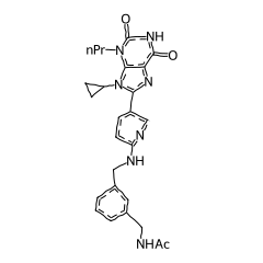 CCCn1c(=O)[nH]c(=O)c2nc(-c3ccc(NCc4cccc(CNC(C)=O)c4)nc3)n(C3CC3)c21